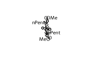 CCCCCN1/C(=C/C=C2C(S(=O)(=O)c3ccccc3)=C(/C=C/c3sc4ccc(C(=O)OC)cc4[n+]3CCCCC)c3ccccc3/2)Sc2ccc(C(=O)OC)cc21